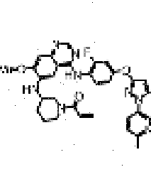 C=CC(=O)N1CCC[C@@H](Nc2cc3c(Nc4ccc(Oc5ccn(-c6ccc(C)nc6)n5)cc4F)ncnc3cc2OC)C1